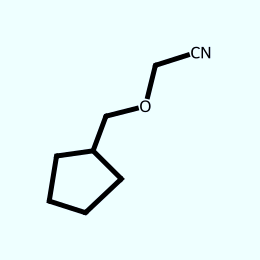 N#CCOCC1CCCC1